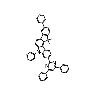 CC1(C)c2ccc(-c3ccccc3)cc2-c2ccc3c(c21)c1ccc(-c2nc(-c4ccccc4)cc(-c4ccccc4)n2)cc1n3-c1ccccc1